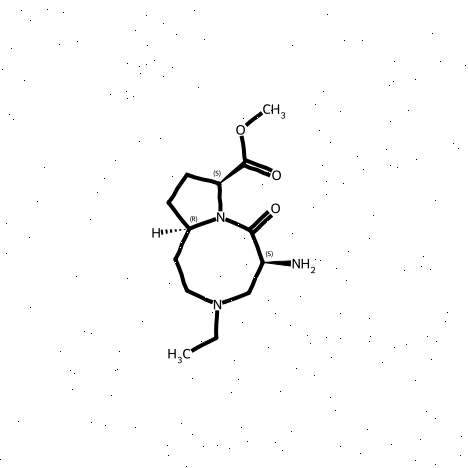 CCN1CC[C@H]2CC[C@@H](C(=O)OC)N2C(=O)[C@@H](N)C1